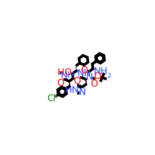 CNC(=O)[C@H](Cc1ccc(Cl)cc1)C[C@H](O)[C@H](CC1CCCCC1)NC(=O)[C@H](Cc1c[nH]cn1)N(C(=O)OC(C)(C)C)C(=O)[C@@H](N)Cc1ccccc1